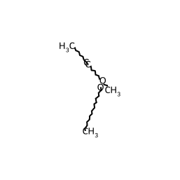 CCCCCCCCCCCCCCCOC(CC)OCCCCCCCCCCCCCCC